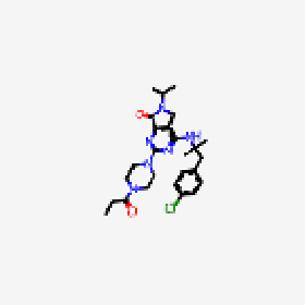 CCC(=O)N1CCN(c2nc(NC(C)(C)Cc3ccc(Cl)cc3)c3c(n2)C(=O)N(C(C)C)C3)CC1